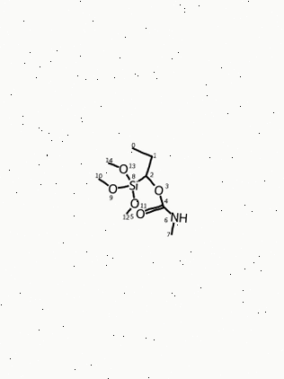 CCC(OC(=O)NC)[Si](OC)(OC)OC